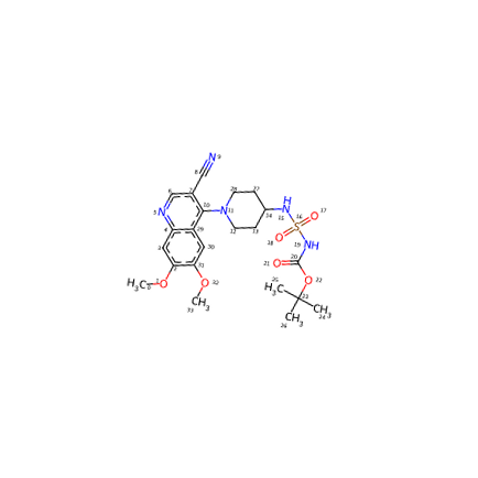 COc1cc2ncc(C#N)c(N3CCC(NS(=O)(=O)NC(=O)OC(C)(C)C)CC3)c2cc1OC